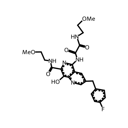 COCCNC(=O)C(=O)Nc1nc(C(=O)NCCOC)c(O)c2ncc(Cc3ccc(F)cc3)cc12